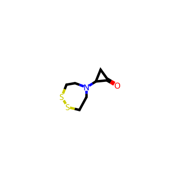 O=C1CC1N1CCSSCC1